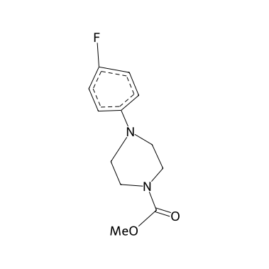 COC(=O)N1CCN(c2ccc(F)cc2)CC1